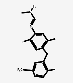 CCN(C)C=Nc1cc(C)c(Cc2cc(C(F)(F)F)ccc2C)cc1F